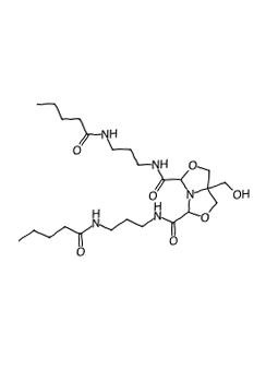 CCCCC(=O)NCCCNC(=O)C1OCC2(CO)COC(C(=O)NCCCNC(=O)CCCC)N12